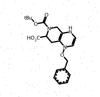 CC(C)(C)OC(=O)N1CC2=C(CC1C(=O)O)N(OCc1ccccc1)C=CN2